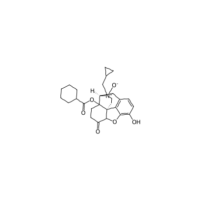 O=C(OC12CCC(=O)C3Oc4c(O)ccc5c4[C@@]31CC[N+]([O-])(CC1CC1)[C@@H]2C5)C1CCCCC1